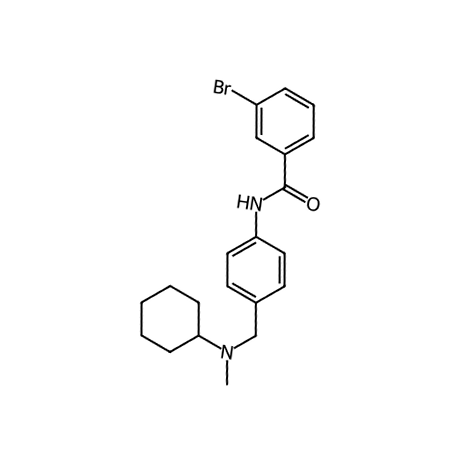 CN(Cc1ccc(NC(=O)c2cccc(Br)c2)cc1)C1CCCCC1